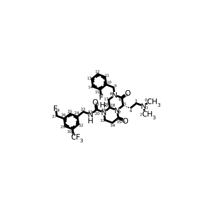 CN(C)CC[C@H]1C(=O)N(Cc2ccccc2F)C[C@@H]2N(C(=O)NCc3cc(CF)cc(C(F)(F)F)c3)CCC(=O)N21